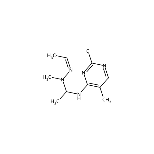 C/C=N\N(C)C(C)Nc1nc(Cl)ncc1C